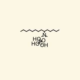 CCCCCCCCC(CCCCC)N(C)C.O=P(O)(O)O